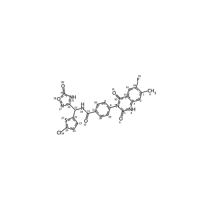 Cc1cc2[nH]c(=O)n(-c3ccc(C(=O)NC(c4noc(=O)[nH]4)c4ccc(Cl)s4)cc3)c(=O)c2cc1F